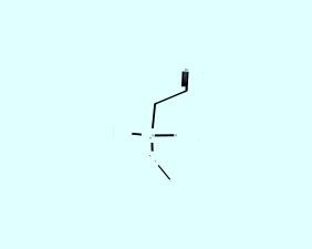 C=CC[Si](C)(C)NCCC